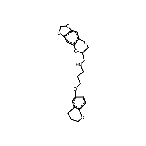 c1cc2c(cc1OCCCNCC1COc3cc4c(cc3O1)OCO4)CCCO2